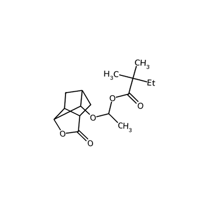 CCC(C)(C)C(=O)OC(C)OC1C2CC3C(=O)OC1C3C2